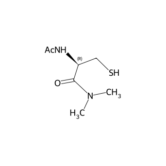 CC(=O)N[C@@H](CS)C(=O)N(C)C